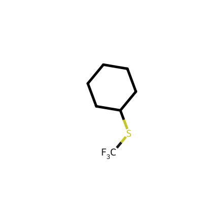 FC(F)(F)S[C]1CCCCC1